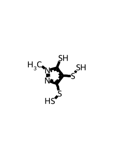 Cn1nc(SS)c(SS)c1S